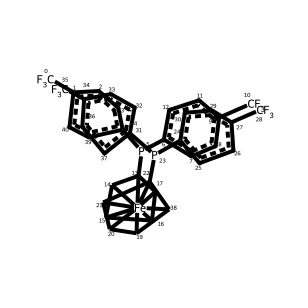 FC(F)(F)c1ccc(P(c2ccc(C(F)(F)F)cc2)[C]23[CH]4[CH]5[CH]6[CH]2[Fe]56432789[CH]3[CH]2[CH]7[C]8(P(c2ccc(C(F)(F)F)cc2)c2ccc(C(F)(F)F)cc2)[CH]39)cc1